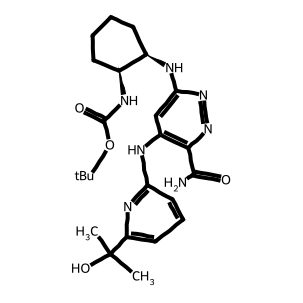 CC(C)(C)OC(=O)N[C@H]1CCCC[C@H]1Nc1cc(Nc2cccc(C(C)(C)O)n2)c(C(N)=O)nn1